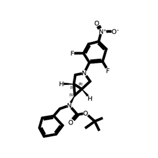 CC(C)(C)OC(=O)N(Cc1ccccc1)[C@H]1[C@@H]2CN(c3c(F)cc([N+](=O)[O-])cc3F)C[C@@H]21